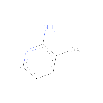 CC(=O)Oc1cccnc1N